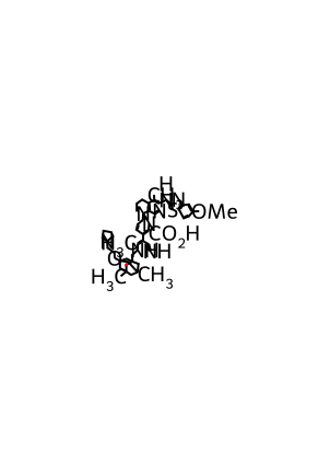 COc1ccc2sc(Nc3ncc4c(c3C)CCCN4c3ccc(/C(C=N)=C(\C)NCC45CC6(C)CC(C)(C4)CC(OCCN4CCCC4)(C6)C5)c(C(=O)O)n3)nc2c1